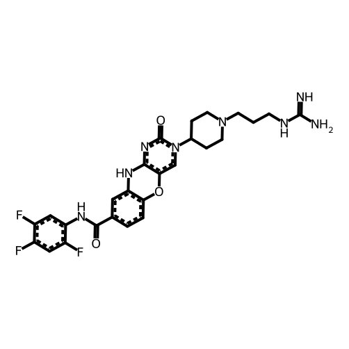 N=C(N)NCCCN1CCC(n2cc3c(nc2=O)Nc2cc(C(=O)Nc4cc(F)c(F)cc4F)ccc2O3)CC1